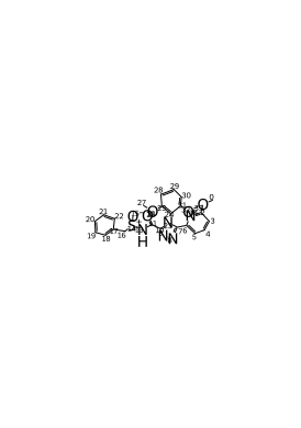 COc1cccc(-c2nnc(C(=O)N[S+]([O-])Cc3ccccc3)n2-c2c(OC)cccc2OC)n1